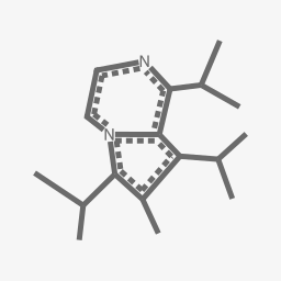 Cc1c(C(C)C)c2c(C(C)C)nccn2c1C(C)C